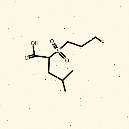 CC(C)CC(C(=O)O)S(=O)(=O)CCCF